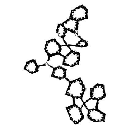 c1ccc(N(c2ccc(-c3ccc4c(c3)-c3ccccc3C43c4ccccc4-c4ccccc43)cc2)c2cccc3c2-c2ccccc2C32c3ccccc3-n3c4ccccc4c4cccc2c43)cc1